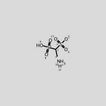 CC(S(=O)(=O)[O-])S(=O)(=O)O.N.[H+]